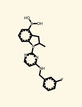 CC1Cc2c(B(O)O)cccc2N1c1nccc(NCc2cccc(F)c2)n1